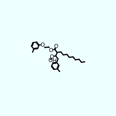 CCCCCCCCCC(C(=O)OCCOc1cccc(C)c1)C(Cc1cccc(C)c1)OO